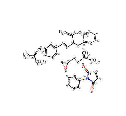 C=C(C(=O)O)C(C=Cc1ccccc1)Cc1ccccc1.C=C(C)C(=O)O.C=C(CCC1CO1)C(=O)O.O=C1C=CC(=O)N1c1ccccc1